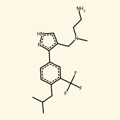 CC(C)Cc1ccc(-c2n[nH]cc2CN(C)CCN)cc1C(F)(F)F